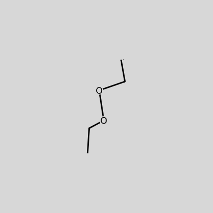 [CH2]COOCC